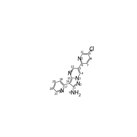 Nc1nn2cc(-c3ccc(Cl)cn3)cnc2c1-c1ccccn1